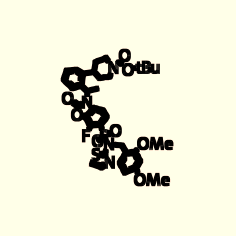 COc1ccc(CN(c2nccs2)S(=O)(=O)c2ccc3c(oc(=O)n3C(C)c3ccccc3C3CCN(C(=O)OC(C)(C)C)CC3)c2F)c(OC)c1